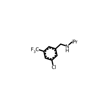 CC(C)NCc1cc(Cl)cc(C(F)(F)F)c1